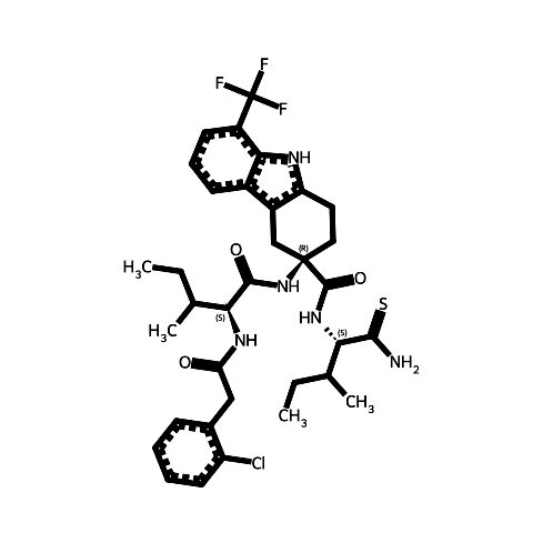 CCC(C)[C@H](NC(=O)Cc1ccccc1Cl)C(=O)N[C@]1(C(=O)N[C@H](C(N)=S)C(C)CC)CCc2[nH]c3c(C(F)(F)F)cccc3c2C1